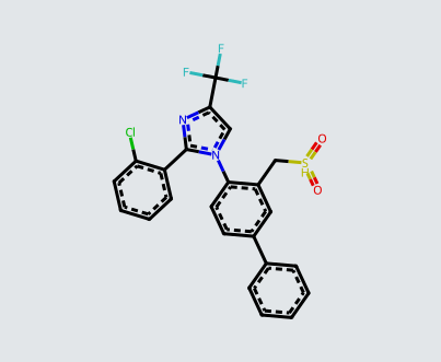 O=[SH](=O)Cc1cc(-c2ccccc2)ccc1-n1cc(C(F)(F)F)nc1-c1ccccc1Cl